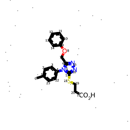 Cc1ccc(-n2c(COc3ccccc3)nnc2SCCC(=O)O)cc1